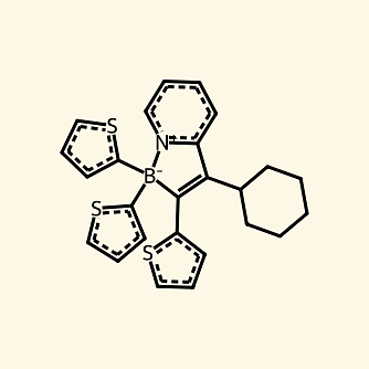 c1csc(C2=C(C3CCCCC3)c3cccc[n+]3[B-]2(c2cccs2)c2cccs2)c1